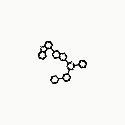 C1=CCC(c2cccc(-c3nc(-c4ccccc4)nc(-c4ccc5cc(-c6cccc7oc8ccccc8c67)ccc5c4)n3)c2)C=C1